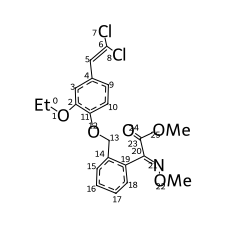 CCOc1cc(C=C(Cl)Cl)ccc1OCc1ccccc1/C(=N\OC)C(=O)OC